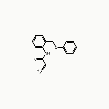 C=CC(=O)Nc1ccccc1COc1ccccc1